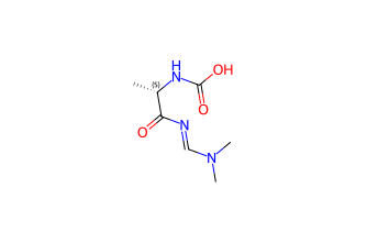 C[C@H](NC(=O)O)C(=O)N=CN(C)C